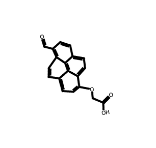 O=Cc1ccc2ccc3c(OCC(=O)O)ccc4ccc1c2c43